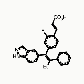 CC/C(=C(/c1ccc(/C=C/C(=O)O)c(F)c1)c1ccc2[nH]ncc2c1)c1ccccc1